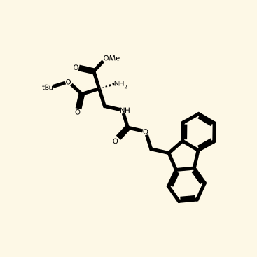 COC(=O)[C@@](N)(CNC(=O)OCC1c2ccccc2-c2ccccc21)C(=O)OC(C)(C)C